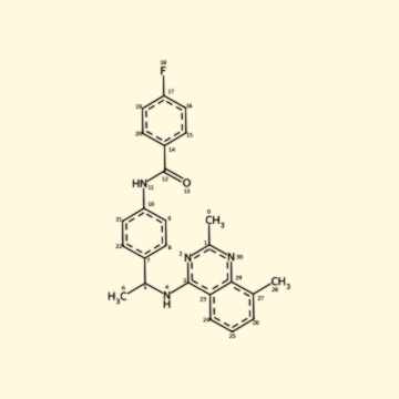 Cc1nc(NC(C)c2ccc(NC(=O)c3ccc(F)cc3)cc2)c2cccc(C)c2n1